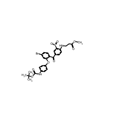 COC(=O)CCNc1ccc(C(=O)c2ccc(Br)cc2Oc2ccc(NC(=O)OC(C)(C)C)cc2)cc1[N+](=O)[O-]